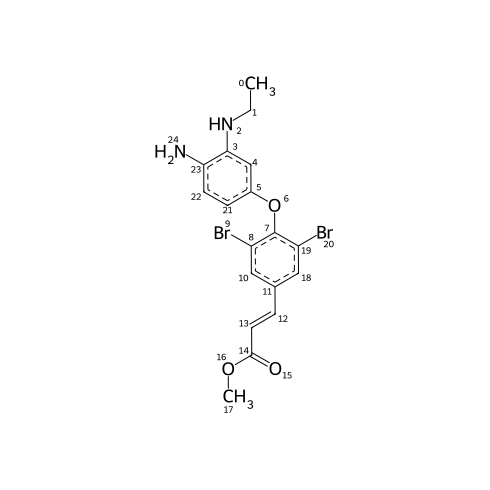 CCNc1cc(Oc2c(Br)cc(C=CC(=O)OC)cc2Br)ccc1N